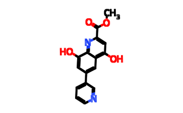 COC(=O)c1cc(O)c2cc(-c3cccnc3)cc(O)c2n1